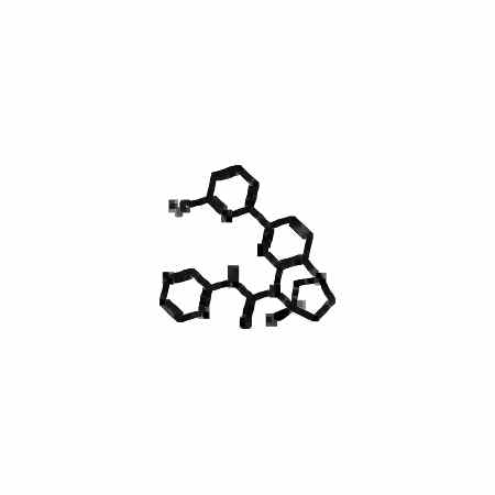 O=C(Nc1cnccn1)N1c2nc(-c3cccc(C(F)(F)F)n3)ccc2N2CC[C@H]1C2